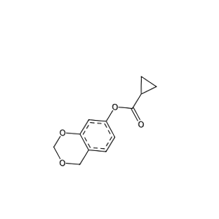 O=C(Oc1ccc2c(c1)OCOC2)C1CC1